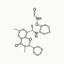 Cc1cc([C@@H](C)Nc2ccccc2ONC=O)c2oc(-c3ccccc3)c(C)c(=O)c2c1